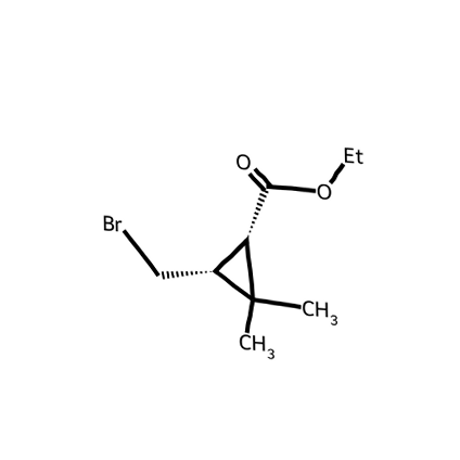 CCOC(=O)[C@H]1[C@@H](CBr)C1(C)C